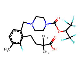 Cc1ccc(CN2CCN(C(=O)OC(C(F)(F)F)C(F)(F)F)CC2)c(CCC(C)(C)C(=O)O)c1F